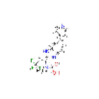 CN(C(=O)O)C(CC(F)(F)F)c1nc2ccc(-c3ccncc3)cc2[nH]1